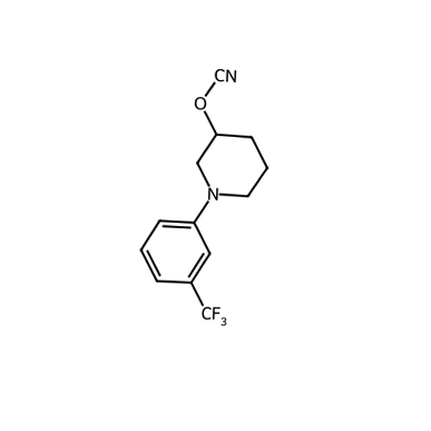 N#COC1CCCN(c2cccc(C(F)(F)F)c2)C1